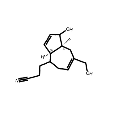 C[C@]12CC(CO)=CCC(CCC#N)[C@H]1C=CC2O